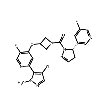 Cn1ncc(Cl)c1-c1cc(OC2CN(C(=O)N3N=CC[C@H]3c3cncc(F)c3)C2)c(F)cn1